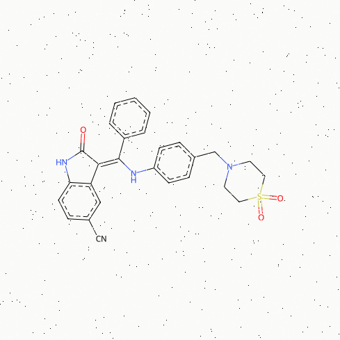 N#Cc1ccc2c(c1)C(=C(Nc1ccc(CN3CCS(=O)(=O)CC3)cc1)c1ccccc1)C(=O)N2